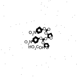 O=C(O)O.O=C(Oc1ccc([N+](=O)[O-])cc1)OC1CCOC1.O=C(Oc1ccc([N+](=O)[O-])cc1)OC1CCOC1